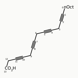 CCCCCCCCC#CCC#CCC#CCC#CCC(=O)O